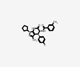 Cc1cccc(C(=O)N[C@@H]2C(=O)Nc3c(c(C)nn3C3CCCC3)[C@@H]2c2ccc(F)cc2)c1